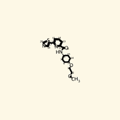 COCCO[C@H]1CC[C@H](NC(=O)c2cccc(-c3cncs3)n2)CC1